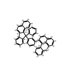 c1ccc(C2(c3cccc(-c4ccc5cccc6c5c4-c4ccccc4O6)c3)c3ccccc3-c3ccc4ccccc4c32)cc1